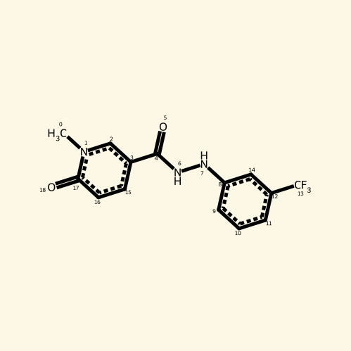 Cn1cc(C(=O)NNc2cccc(C(F)(F)F)c2)ccc1=O